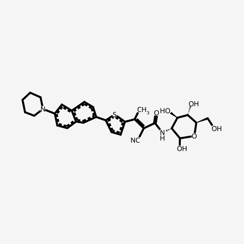 C/C(=C(/C#N)C(=O)N[C@H]1C(O)O[C@H](CO)[C@@H](O)[C@@H]1O)c1ccc(-c2ccc3cc(N4CCCCC4)ccc3c2)s1